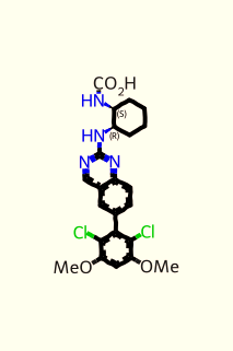 COc1cc(OC)c(Cl)c(-c2ccc3nc(N[C@@H]4CCCC[C@@H]4NC(=O)O)ncc3c2)c1Cl